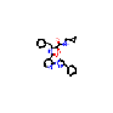 O=C(NCC1CC1)C(=O)C(Cc1ccccc1)NC(=O)c1cccnc1-n1ccc(-c2ccccc2)n1